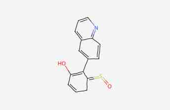 O=S=C1CC=CC(O)=C1c1ccc2ncccc2c1